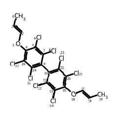 CC=COc1c(Cl)c(Cl)c(-c2c(Cl)c(Cl)c(OC=CC)c(Cl)c2Cl)c(Cl)c1Cl